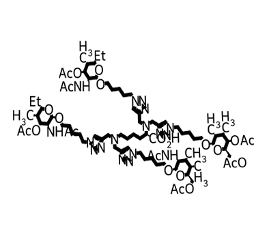 CC[C@H]1O[C@@H](OCCCCCn2cc(CN(CCCC[C@@H](C(=O)O)N(Cc3cn(CCCCCO[C@@H]4O[C@H](COC(C)=O)[C@H](OC(C)=O)[C@H](C)[C@H]4C)nn3)Cc3cn(CCCCCO[C@@H]4O[C@H](CC)[C@H](C)[C@H](OC(C)=O)[C@H]4NC(C)=O)nn3)Cc3cn(CCCCCO[C@@H]4O[C@H](COC(C)=O)[C@H](C)[C@H](C)[C@H]4NC(C)=O)nn3)nn2)[C@H](NC(C)=O)[C@@H](OC(C)=O)[C@H]1C